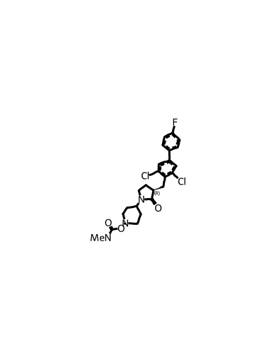 CNC(=O)ON1CCC(N2CC[C@@H](Cc3c(Cl)cc(-c4ccc(F)cc4)cc3Cl)C2=O)CC1